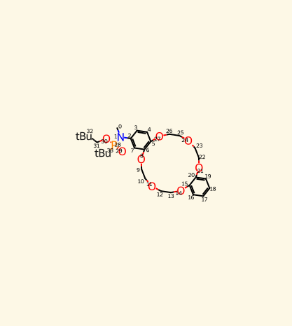 CN(c1ccc2c(c1)OCCOCCOc1ccccc1OCCOCCO2)P(=O)(OCC(C)(C)C)C(C)(C)C